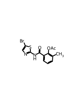 CC(=O)Oc1c(C)cccc1C(=O)Nc1ncc(Br)s1